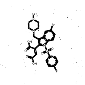 CN1CCN(Cc2c(C(=CC(=O)O)C(=O)O)n(S(=O)(=O)c3ccc(F)cc3)c3ccc(Br)cc23)CC1